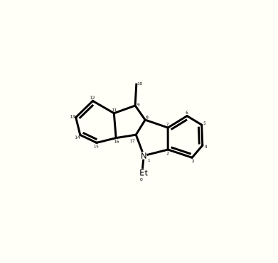 CCN1c2ccccc2C2C(C)C3C=CC=CC3C21